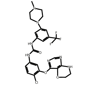 CN1CCN(c2cc(NC(=O)Nc3ccc(Cl)c(Oc4ncnc5c4OCCN5)c3)cc(C(F)(F)F)c2)CC1